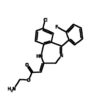 NCOC(=O)C=C1CN=C(c2ccccc2F)c2cc(Cl)ccc2N1